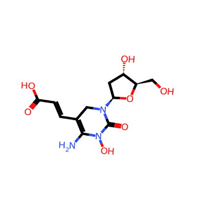 NC1=C(C=CC(=O)O)CN([C@H]2C[C@H](O)[C@@H](CO)O2)C(=O)N1O